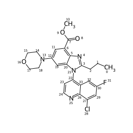 CCCc1nc2c(C(=O)OC)cc(N3CCOCC3)cc2n1-c1ccnc2c(Cl)cc(F)cc12